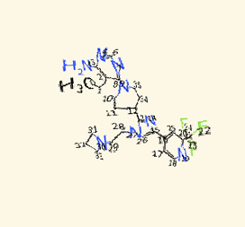 CCc1c(N)ncnc1N1CCC(c2nc(-c3ccnc(C(F)(F)F)c3)cn2CCN2CCC2)CC1